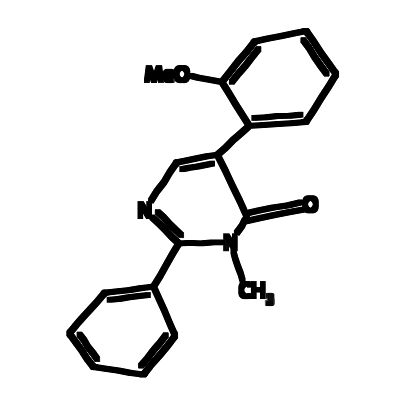 COc1ccccc1-c1cnc(-c2ccccc2)n(C)c1=O